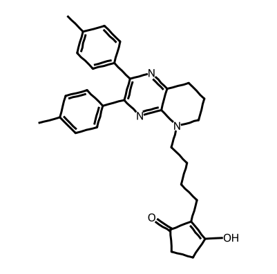 Cc1ccc(-c2nc3c(nc2-c2ccc(C)cc2)N(CCCCC2=C(O)CCC2=O)CCC3)cc1